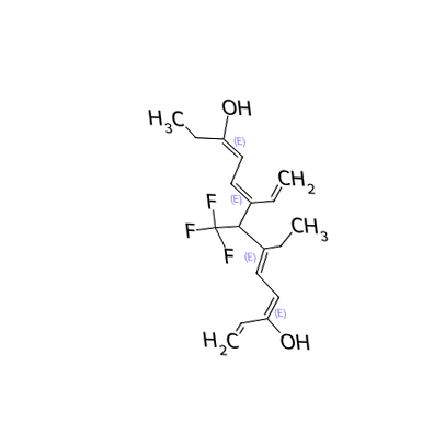 C=C/C(O)=C\C=C(/CC)C(/C(C=C)=C/C=C(/O)CC)C(F)(F)F